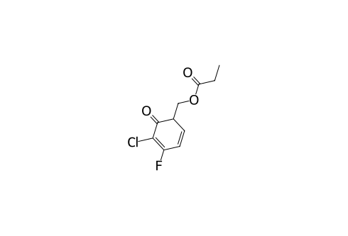 CCC(=O)OCC1C=CC(F)=C(Cl)C1=O